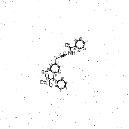 CCS(=O)(=O)C(c1ccccc1)c1ccc(CC#CNC(=O)c2ccccc2)cc1Br